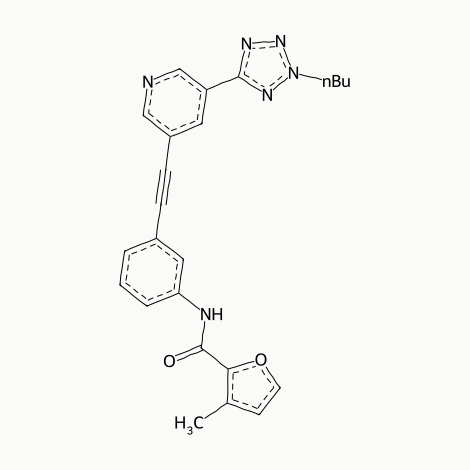 CCCCn1nnc(-c2cncc(C#Cc3cccc(NC(=O)c4occc4C)c3)c2)n1